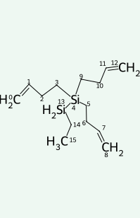 C=CCC[Si](CCC=C)(CCC=C)[SiH2]CC